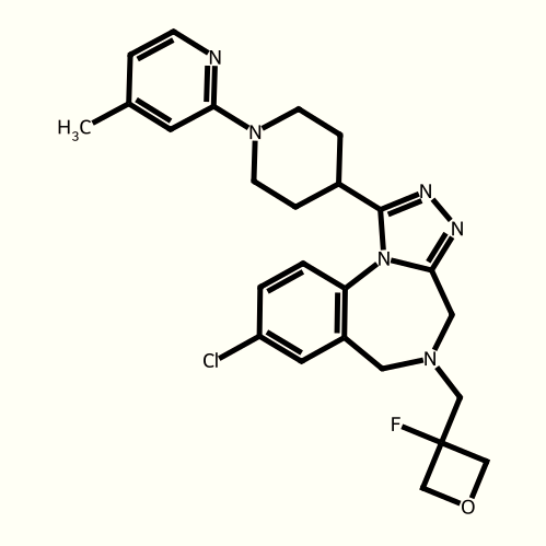 Cc1ccnc(N2CCC(c3nnc4n3-c3ccc(Cl)cc3CN(CC3(F)COC3)C4)CC2)c1